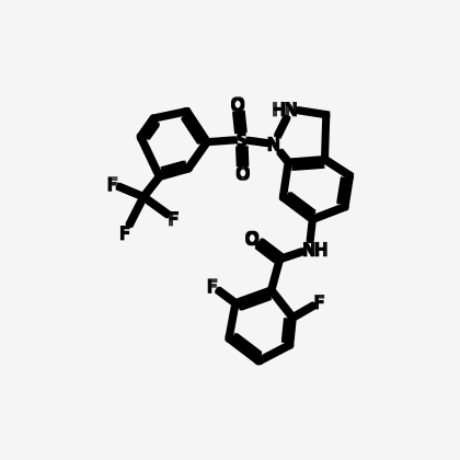 O=C(Nc1ccc2c(c1)N(S(=O)(=O)c1cccc(C(F)(F)F)c1)NC2)c1c(F)cccc1F